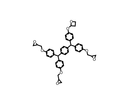 c1cc(C(c2ccc(OCC3CO3)cc2)c2ccc(C(c3ccc(OCC4CO4)cc3)c3ccc(OC4CCO4)cc3)cc2)ccc1OCC1CO1